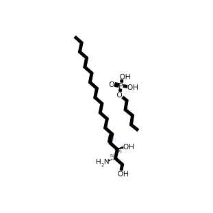 CCCCCCCCCCCCC/C=C/[C@@H](O)[C@@H](N)CO.CCCCCOP(=O)(O)O